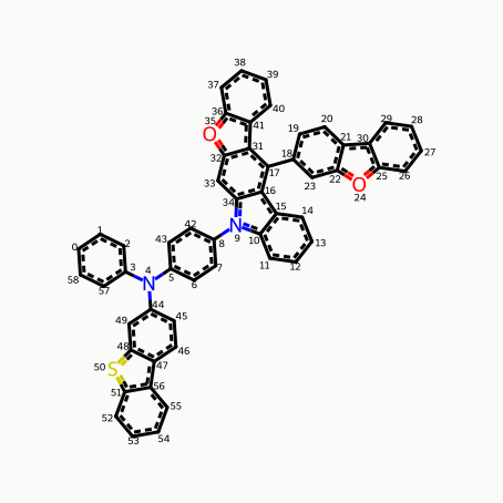 c1ccc(N(c2ccc(-n3c4ccccc4c4c(-c5ccc6c(c5)oc5ccccc56)c5c(cc43)oc3ccccc35)cc2)c2ccc3c(c2)sc2ccccc23)cc1